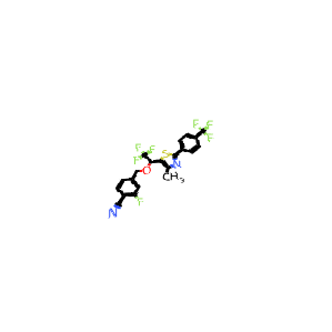 Cc1nc(-c2ccc(C(F)(F)F)cc2)sc1C(OCc1ccc(C#N)c(F)c1)C(F)(F)F